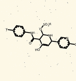 O=C(Nc1ccc(F)cc1)C1C(O)=CC(c2ccc(C(F)(F)F)nc2)NC1OS(=O)(=O)O